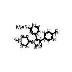 CSc1nccc(-c2c(-c3ccc(F)cc3)ncn2C2CCN(C)CC2)n1